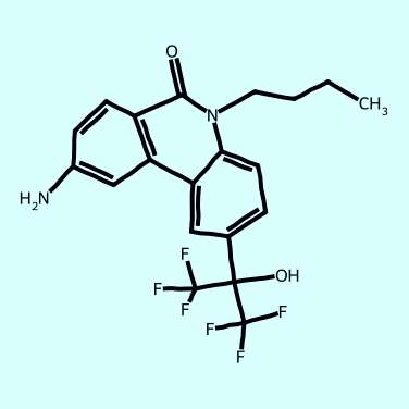 CCCCn1c(=O)c2ccc(N)cc2c2cc(C(O)(C(F)(F)F)C(F)(F)F)ccc21